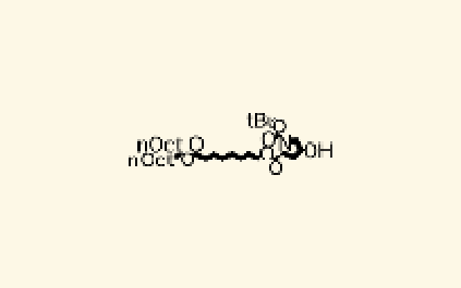 CCCCCCCCC(CCCCCCCC)OC(=O)CCCCCCCOC(=O)[C@@H]1C[C@@H](O)CN1C(=O)OC(C)(C)C